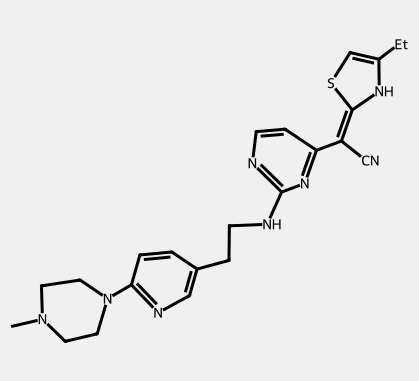 CCC1=CSC(=C(C#N)c2ccnc(NCCc3ccc(N4CCN(C)CC4)nc3)n2)N1